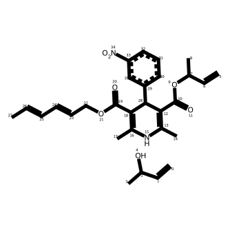 C=CC(C)O.C=CC(C)OC(=O)C1=C(C)NC(C)=C(C(=O)OCC=CC=CC)C1c1cccc([N+](=O)[O-])c1